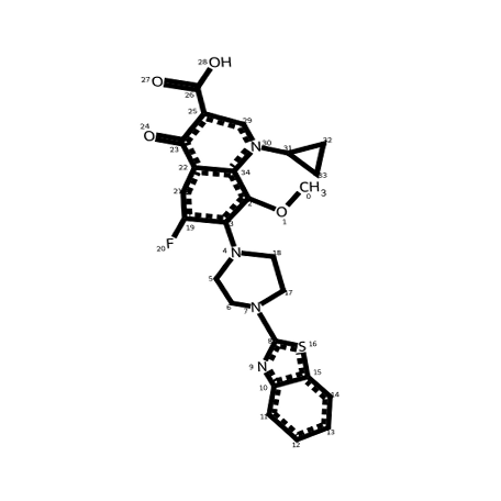 COc1c(N2CCN(c3nc4ccccc4s3)CC2)c(F)cc2c(=O)c(C(=O)O)cn(C3CC3)c12